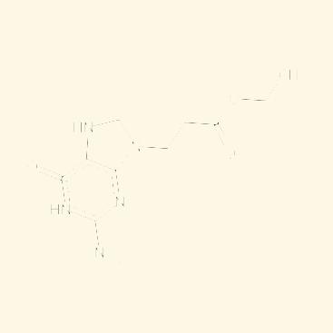 CCOC(=O)CCN1CNc2c1nc(N)[nH]c2=O